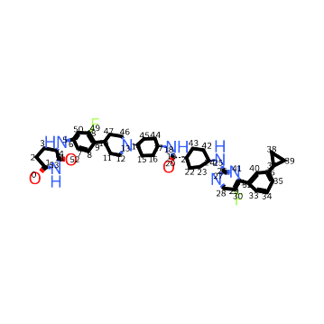 O=C1CCC(Nc2ccc(C3CCN([C@H]4CC[C@H](NC(=O)[C@H]5CC[C@H](Nc6ncc(F)c(-c7cccc(C8CC8)c7)n6)CC5)CC4)CC3)c(F)c2)C(=O)N1